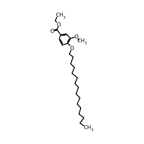 CCCCCCCCCCCCCCCCOc1ccc(C(=O)OCC)cc1OC